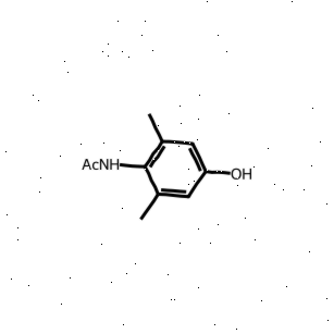 CC(=O)Nc1c(C)cc(O)cc1C